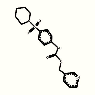 O=C(Nc1ccc(S(=O)(=O)N2CCCCC2)cc1)OCc1cccnc1